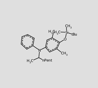 CCCCCC(C)N(c1ccccc1)c1cc(C)c(O[Si](C)(C)C(C)(C)C)c(C)c1